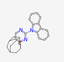 c1ccc2c(c1)c1ccccc1n2-c1ncc2c(n1)C1CC3CC(CC2C3)C1